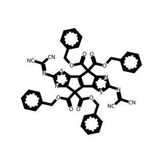 N#CC(C#N)=Nc1nc2c(s1)C1=C(c3sc(N=C(C#N)C#N)nc3C1(C(=O)OCc1ccccc1)C(=O)OCc1ccccc1)C2(C(=O)OCc1ccccc1)C(=O)OCc1ccccc1